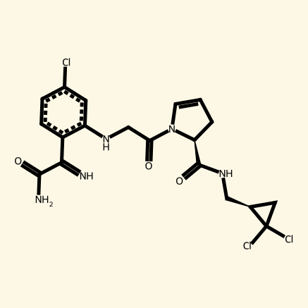 N=C(C(N)=O)c1ccc(Cl)cc1NCC(=O)N1C=CC[C@H]1C(=O)NC[C@H]1CC1(Cl)Cl